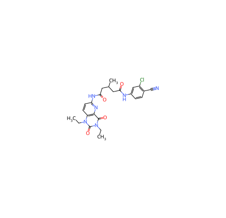 CCn1c(=O)c2nc(NC(=O)CC(C)CC(=O)Nc3ccc(C#N)c(Cl)c3)ccc2n(CC)c1=O